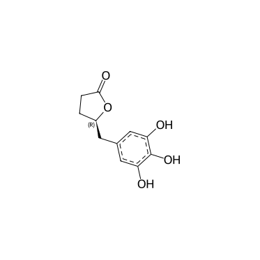 O=C1CC[C@H](Cc2cc(O)c(O)c(O)c2)O1